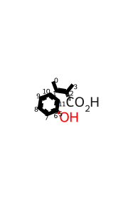 CC=C(C)C(=O)O.Oc1ccccc1